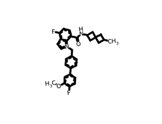 COc1cc(-c2ccc(Cn3ccc4c(F)ccc(C(=O)NC5CC6(CC(C)C6)C5)c43)cc2)ccc1F